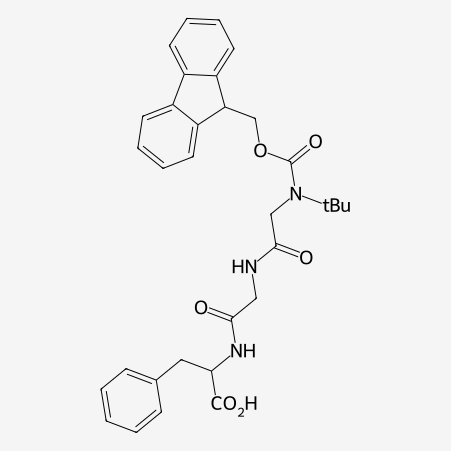 CC(C)(C)N(CC(=O)NCC(=O)NC(Cc1ccccc1)C(=O)O)C(=O)OCC1c2ccccc2-c2ccccc21